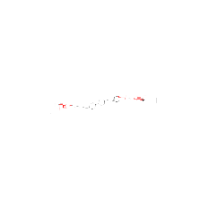 C=CC(=O)OCCCCCCCC1CCC(C2CCC(CCc3ccc(OCCCCOC(=O)C=C)cc3)CC2)CC1